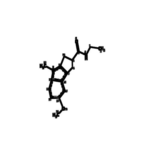 CCNC(=O)C1Cc2c(n(C)c3ccc(OC)cc23)C1